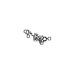 Cc1cc(Cl)cc(Cl)c1S(=O)(=O)Nc1nc(CCN2CCOCC2=O)ns1